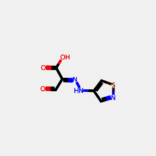 O=C/C(=N\Nc1cnsc1)C(=O)O